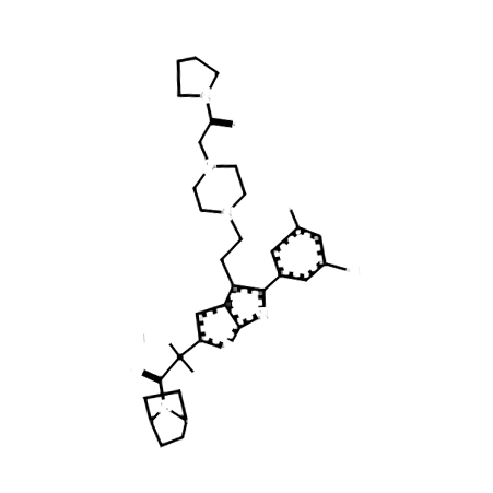 Cc1cc(C)cc(-c2[nH]c3sc(C(C)(C)C(=O)N4C5CCC4CC5)cc3c2CCN2CCN(CC(=O)N3CCCC3)CC2)c1